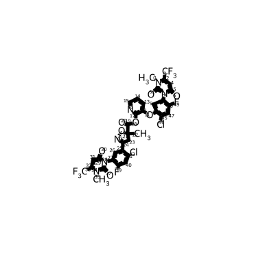 Cn1c(C(F)(F)F)cc(=O)n(-c2cc(Oc3cccnc3OC(=O)C3(C)CC(c4cc(-n5c(=O)cc(C(F)(F)F)n(C)c5=O)c(F)cc4Cl)=NO3)c(Cl)cc2F)c1=O